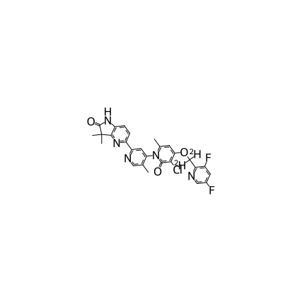 [2H]C([2H])(Oc1cc(C)n(-c2cc(-c3ccc4c(n3)C(C)(C)C(=O)N4)ncc2C)c(=O)c1Cl)c1ncc(F)cc1F